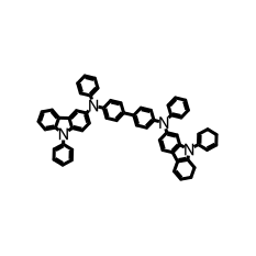 C1=CC(n2c3c(c4ccc(N(c5ccccc5)c5ccc(-c6ccc(N(c7ccccc7)c7ccc8c(c7)c7ccccc7n8-c7ccccc7)cc6)cc5)cc42)C=CCC3)=CCC1